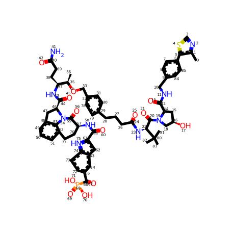 Cc1ncsc1-c1ccc(CNC(=O)C2C[C@@H](O)CN2C(=O)[C@@H](NC(=O)CCCc2ccc(CO[C@H](C)[C@H](CCC(N)=O)NC(=O)[C@@H]3Cc4cccc5c4N3C(=O)[C@@H](NC(=O)c3cc4cc(C(=O)P(=O)(O)O)ccc4[nH]3)CC5)cc2)C(C)(C)C)cc1